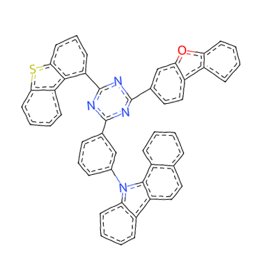 c1cc(-c2nc(-c3ccc4c(c3)oc3ccccc34)nc(-c3cccc4sc5ccccc5c34)n2)cc(-n2c3ccccc3c3ccc4ccccc4c32)c1